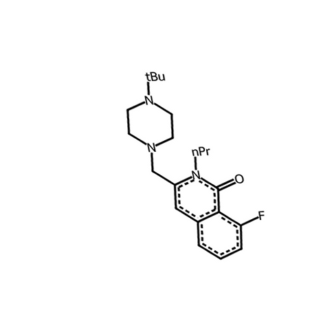 CCCn1c(CN2CCN(C(C)(C)C)CC2)cc2cccc(F)c2c1=O